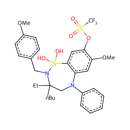 CCCCC1(CC)CN(c2ccccc2)c2cc(OC)c(OS(=O)(=O)C(F)(F)F)cc2S(O)(O)N1Cc1ccc(OC)cc1